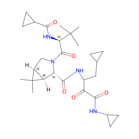 CC(C)(C)[C@H](NC(=O)C1CC1)C(=O)N1C[C@H]2[C@@H]([C@H]1C(=O)NC(CC1CC1)C(=O)C(=O)NC1CC1)C2(C)C